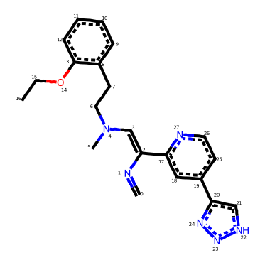 C=N/C(=C\N(C)CCc1ccccc1OCC)c1cc(-c2c[nH]nn2)ccn1